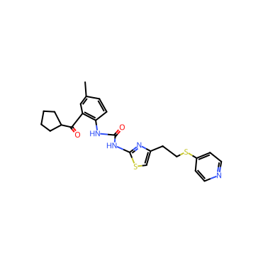 Cc1ccc(NC(=O)Nc2nc(CCSc3ccncc3)cs2)c(C(=O)C2CCCC2)c1